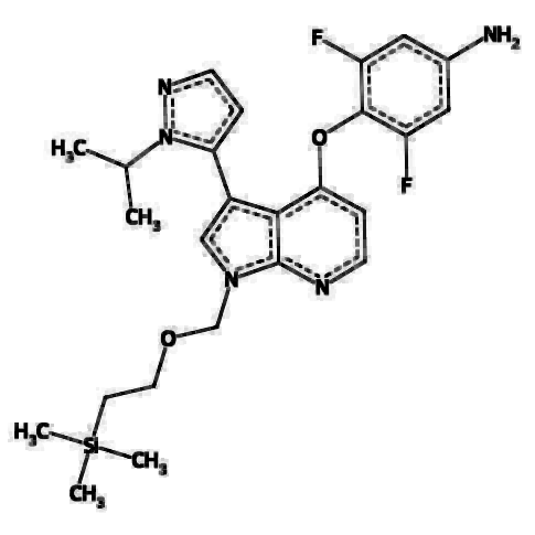 CC(C)n1nccc1-c1cn(COCC[Si](C)(C)C)c2nccc(Oc3c(F)cc(N)cc3F)c12